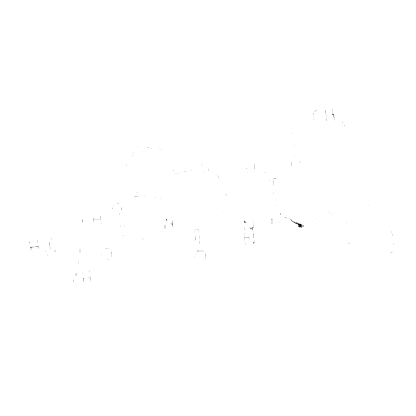 CCOC(=O)[C@@H](CCC1CCCCC1)NC1CSc2ccccc2N(CC(=O)OC(C)(C)C)C1=O